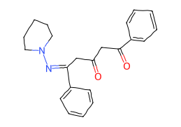 O=C(CC(=O)c1ccccc1)C/C(=N\N1CCCCC1)c1ccccc1